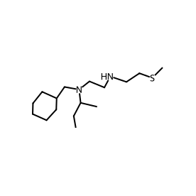 CCC(C)N(CCNCCSC)CC1CCCCC1